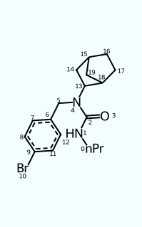 CCCNC(=O)N(Cc1ccc(Br)cc1)C1CC2CCC1C2